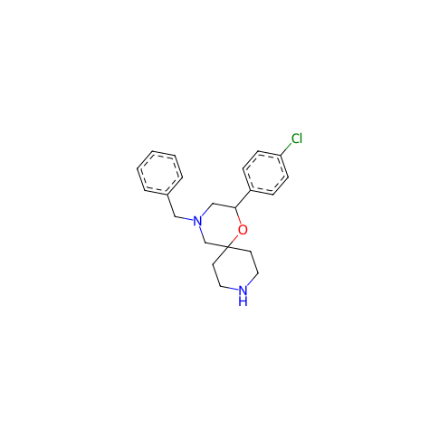 Clc1ccc(C2CN(Cc3ccccc3)CC3(CCNCC3)O2)cc1